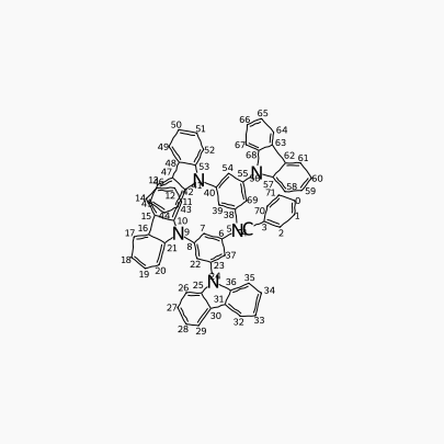 c1ccc(CN(c2cc(-n3c4ccccc4c4ccccc43)cc(-n3c4ccccc4c4ccccc43)c2)c2cc(-n3c4ccccc4c4ccccc43)cc(-n3c4ccccc4c4ccccc43)c2)cc1